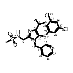 CC(C)c1nc(CNS(C)(=O)=O)n(Cc2cccnc2)c1Sc1cc(Cl)cc(Cl)c1